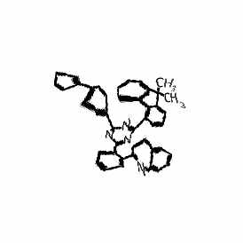 CC1(C)c2ccccc2-c2c(-c3nc(-c4ccc(-c5ccccc5)cc4)nc(-c4ccccc4-c4ccc5ccccc5n4)n3)cccc21